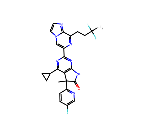 CC1(c2ccc(F)cn2)C(=O)Nc2nc(-c3cn4ccnc4c(CCC(F)(F)C(F)(F)F)n3)nc(C3CC3)c21